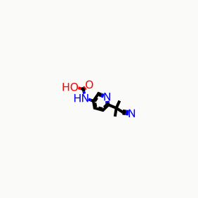 CC(C)(C#N)c1ccc(NC(=O)O)cn1